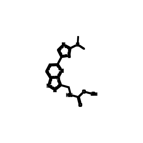 CN(C)c1ncc(-c2ccc3nnc(CNC(=O)OC(C)(C)C)n3n2)s1